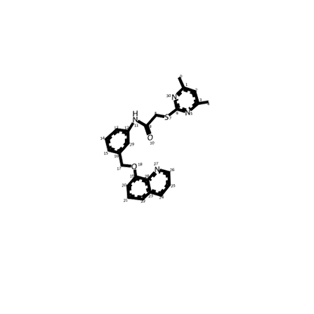 Cc1cc(C)nc(SCC(=O)Nc2cccc(COc3cccc4cccnc34)c2)n1